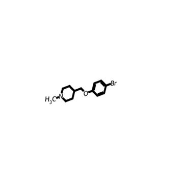 CN1CCC(COc2ccc(Br)cc2)CC1